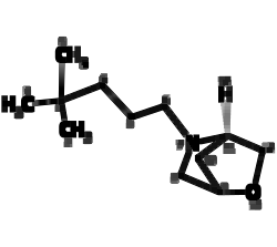 CC(C)(C)CCCN1CC2C[C@@H]1CO2